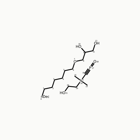 CCCCCCCCCCCCCCCCOCC(O)CO.C[N+](C)(C#P=O)CCO